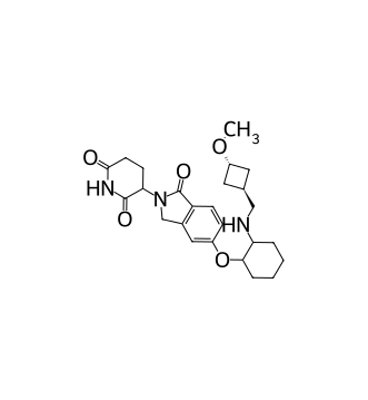 CO[C@H]1C[C@H](CNC2CCCCC2Oc2ccc3c(c2)CN(C2CCC(=O)NC2=O)C3=O)C1